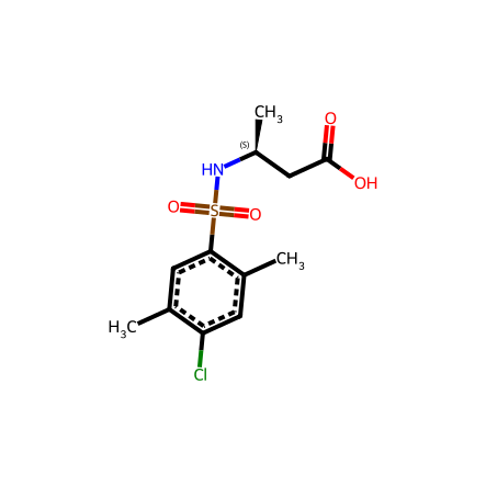 Cc1cc(S(=O)(=O)N[C@@H](C)CC(=O)O)c(C)cc1Cl